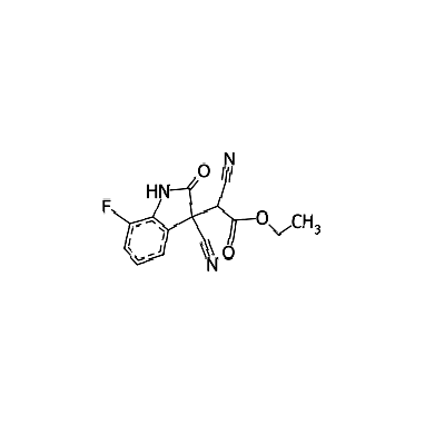 CCOC(=O)C(C#N)C1(C#N)C(=O)Nc2c(F)cccc21